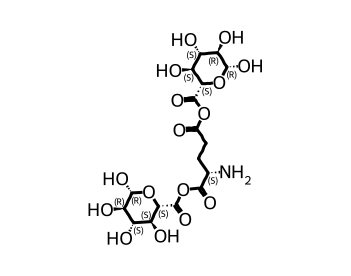 N[C@@H](CCC(=O)OC(=O)[C@H]1O[C@@H](O)[C@H](O)[C@@H](O)[C@@H]1O)C(=O)OC(=O)[C@H]1O[C@@H](O)[C@H](O)[C@@H](O)[C@@H]1O